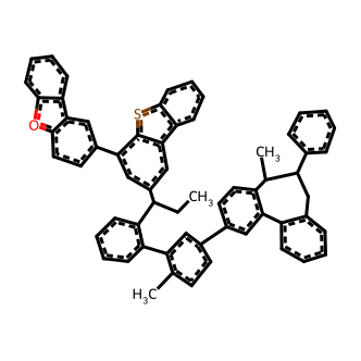 CCC(c1cc(-c2ccc3oc4ccccc4c3c2)c2sc3ccccc3c2c1)c1ccccc1-c1cc(-c2ccc3c(c2)-c2ccccc2CC(c2ccccc2)C3C)ccc1C